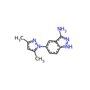 Cc1cc(C)n(-c2ccc3[nH]nc(N)c3c2)n1